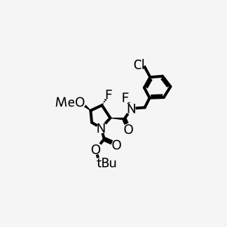 CO[C@@H]1CN(C(=O)OC(C)(C)C)[C@H](C(=O)N(F)Cc2cccc(Cl)c2)[C@H]1F